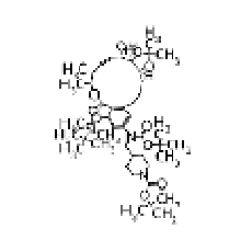 C[C@@H]1/C=C\[C@@H](O)[C@H]2OC(C)(C)O[C@H]2CCCc2cc(N(CC3CCN(C(=O)OC(C)(C)C)CC3)C(=O)OC(C)(C)C)cc(O[Si](C)(C)C(C)(C)C)c2C(=O)O[C@H]1C